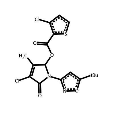 CC1=C(Cl)C(=O)N(c2cc(C(C)(C)C)on2)C1OC(=O)c1sccc1Cl